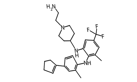 Cc1cc(C2=CCCC2)ccc1Nc1c(C)cc(C(F)(F)F)cc1NC1CCN(CCN)CC1